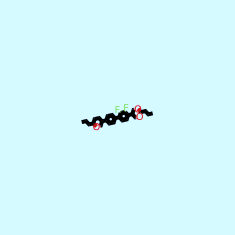 CCCC1CCC(c2ccc(-c3ccc(C4COC(CCC)OC4)c(F)c3F)cc2)CO1